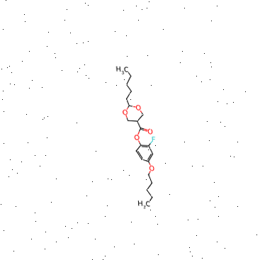 CCCCCOc1ccc(OC(=O)C2COC(CCCCC)OC2)c(F)c1